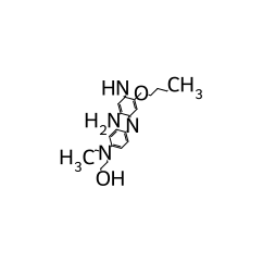 CCCCOC1=C/C(=N/c2ccc(N(CC)CCO)cc2)C(N)=CC1=N